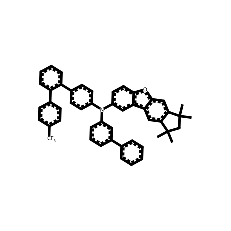 CC1(C)CC(C)(C)c2cc3c(cc21)oc1ccc(N(c2ccc(-c4ccccc4-c4ccc(C(F)(F)F)cc4)cc2)c2cccc(-c4ccccc4)c2)cc13